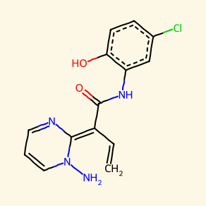 C=C/C(C(=O)Nc1cc(Cl)ccc1O)=C1/N=CC=CN1N